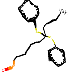 CCOC(=O)CCC(CCCCP=O)(Sc1ccccc1)Sc1ccccc1